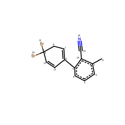 Cc1cccc(C2=CCC(Br)(Br)C=C2)c1C#N